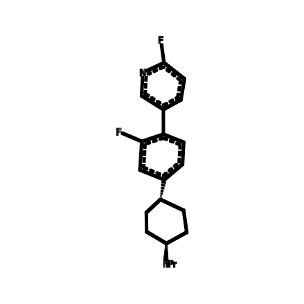 CCC[C@H]1CC[C@H](c2ccc(-c3ccc(F)nc3)c(F)c2)CC1